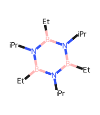 CCB1N(C(C)C)B(CC)N(C(C)C)B(CC)N1C(C)C